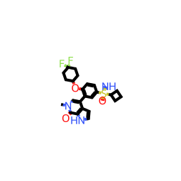 Cn1cc(-c2cc(S(=N)(=O)C3CCC3)ccc2OC2CCC(F)(F)CC2)c2cc[nH]c2c1=O